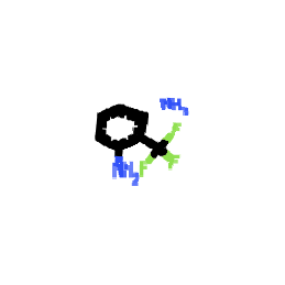 N.Nc1ccccc1C(F)(F)F